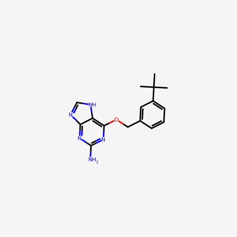 CC(C)(C)c1cccc(COc2nc(N)nc3nc[nH]c23)c1